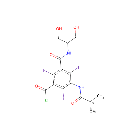 CC(=O)O[C@@H](C)C(=O)Nc1c(I)c(C(=O)Cl)c(I)c(C(=O)NC(CO)CO)c1I